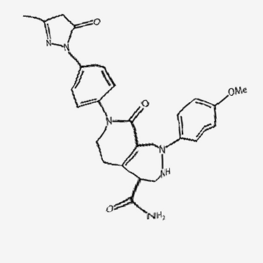 COc1ccc(N2NC(C(N)=O)C3=C2C(=O)N(c2ccc(N4N=C(C)CC4=O)cc2)CC3)cc1